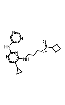 O=C(NCCCNc1nc(Nc2cncnc2)ncc1C1CC1)C1CCC1